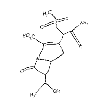 CC(O)C1C(=O)N2C(C(=O)O)=C(C(C(N)=O)S(C)(=O)=O)CC12